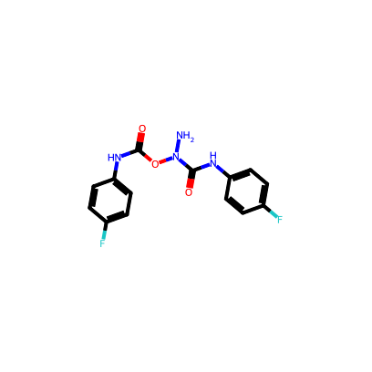 NN(OC(=O)Nc1ccc(F)cc1)C(=O)Nc1ccc(F)cc1